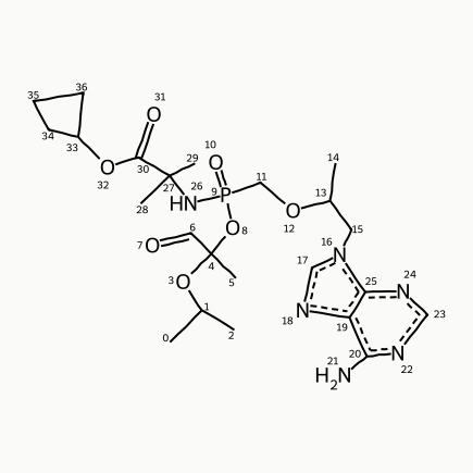 CC(C)OC(C)(C=O)OP(=O)(COC(C)Cn1cnc2c(N)ncnc21)NC(C)(C)C(=O)OC1CCC1